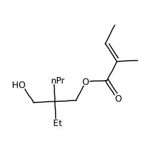 CC=C(C)C(=O)OCC(CC)(CO)CCC